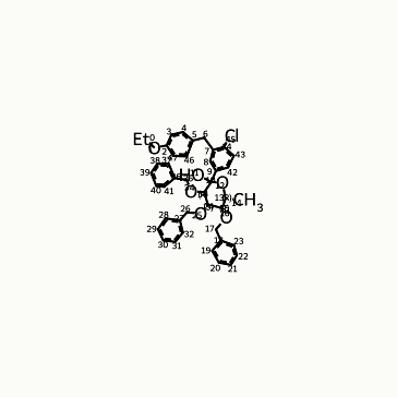 CCOc1ccc(Cc2cc(C3(O)O[C@H](C)[C@@H](OCc4ccccc4)[C@H](OCc4ccccc4)[C@H]3OCc3ccccc3)ccc2Cl)cc1